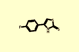 Fc1ccc(-c2csc(=S)[nH]2)cc1